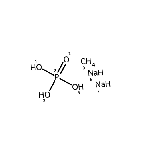 C.O=P(O)(O)O.[NaH].[NaH]